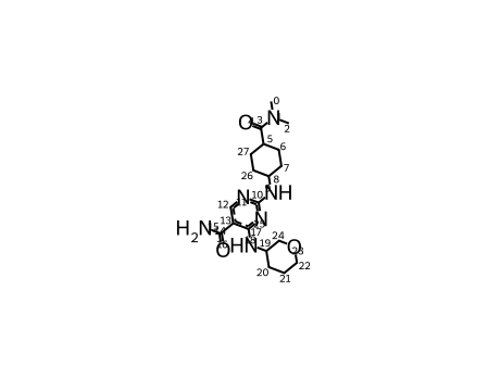 CN(C)C(=O)C1CCC(Nc2ncc(C(N)=O)c(NC3CCCOC3)n2)CC1